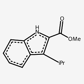 COC(=O)c1[nH]c2ccccc2c1C(C)C